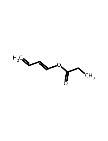 C=C/C=C/OC(=O)CC